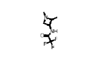 CC1C(NC(=O)C(F)(F)F)CN1C